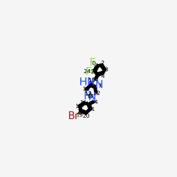 Fc1cccc(-c2nc3c([nH]2)C=NN(Cc2ccc(Br)cc2)C3)c1F